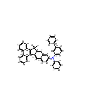 CC1(C)c2cc3cc(N(c4ccccc4)c4cccc(-c5ccccc5)c4)ccc3cc2-c2c1c1ccccc1c1ccccc21